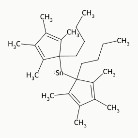 CCCC[C]1([Sn][C]2(CCCC)C(C)=C(C)C(C)=C2C)C(C)=C(C)C(C)=C1C